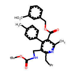 Cc1ccc(-c2c(CNC(=O)OC(C)(C)C)c(CC(C)C)nc(C)c2C(=O)OCc2cccc(C(=O)O)c2)cc1